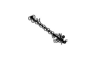 CC(C)(C)[C@H](c1nc(-c2cc(F)ccc2F)cn1Cc1ccccc1)N(CCCN)C(=O)CSCCNC(=O)CCOCCOCCOCCOCCOCCOCCOCCOCCNC(=O)CCN1C(=O)C=CC1=O